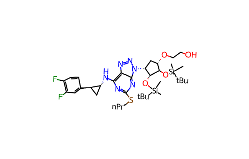 CCCSc1nc(N[C@@H]2C[C@H]2c2ccc(F)c(F)c2)c2nnn([C@@H]3C[C@H](OCCO)C(O[Si](C)(C)C(C)(C)C)[C@@H]3O[Si](C)(C)C(C)(C)C)c2n1